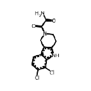 NC(=O)C(=O)N1CCc2[nH]c3c(Cl)c(Cl)ccc3c2C1